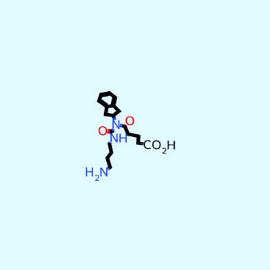 NCCCCNC(=O)N(C(=O)CCCC(=O)O)C1Cc2ccccc2C1